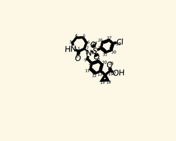 O=C1NCCCC[C@H]1N(Cc1ccc(C2(C(=O)O)CC2)cc1)S(=O)(=O)c1ccc(Cl)cc1